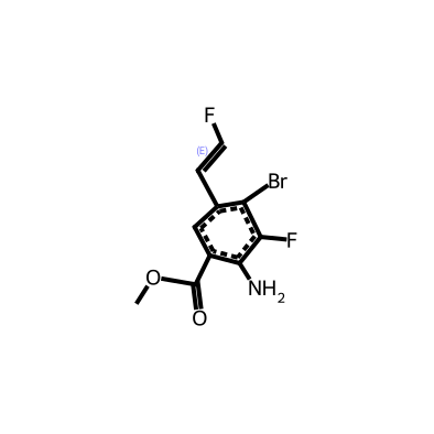 COC(=O)c1cc(/C=C/F)c(Br)c(F)c1N